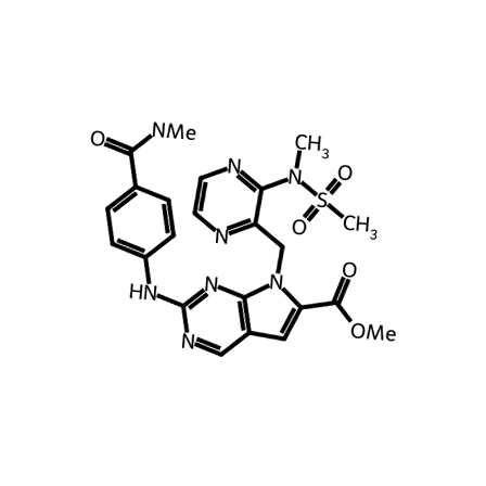 CNC(=O)c1ccc(Nc2ncc3cc(C(=O)OC)n(Cc4nccnc4N(C)S(C)(=O)=O)c3n2)cc1